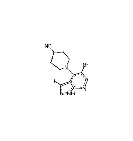 N#CC1CCN(c2c(Br)cnc3[nH]cc(I)c23)CC1